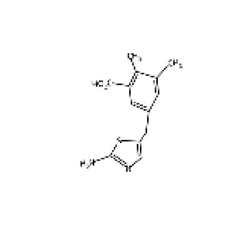 Cc1cc(Cc2cnc(N)s2)cc(C(=O)O)c1C